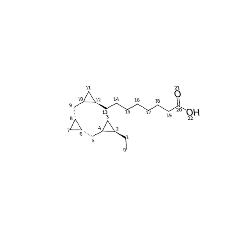 CC[C@@H]1CC1C[C@@H]1C[C@@H]1CC1C[C@H]1CCCCCCCC(=O)O